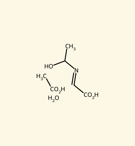 CC(=O)O.CC(O)N=CC(=O)O.O